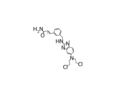 Cn1c(NCc2cccc(/C=C/C(N)=O)c2)nc2cc(N(CCCl)CCCl)ccc21